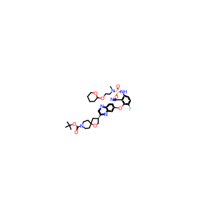 CN(CCOC1CCCCO1)S(=O)(=O)Nc1ccc(F)c(Oc2ccc3ncc([C@H]4COC5(CCN(C(=O)OC(C)(C)C)CC5)C4)nc3c2)c1C#N